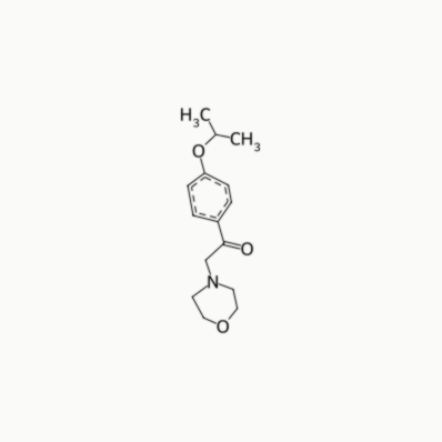 CC(C)Oc1ccc(C(=O)CN2CCOCC2)cc1